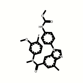 COC(=O)Nc1ccc(-n2cnc3c(C)cc(C(=O)N(C)c4ccc(F)c(OC)c4)cc32)cc1